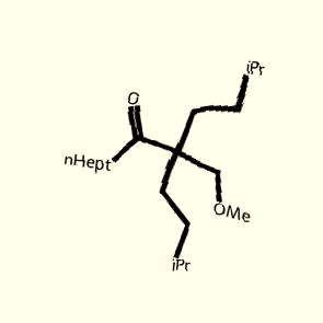 CCCCCCCC(=O)C(CCC(C)C)(CCC(C)C)COC